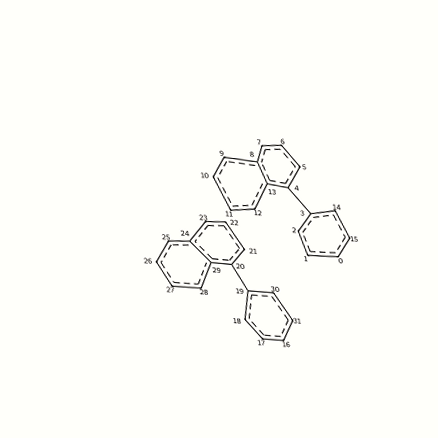 c1ccc(-c2cccc3ccccc23)cc1.c1ccc(-c2cccc3ccccc23)cc1